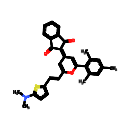 Cc1cc(C)c(C2=CC(=C3C(=O)c4ccccc4C3=O)C=C(C=Cc3ccc(N(C)C)s3)O2)c(C)c1